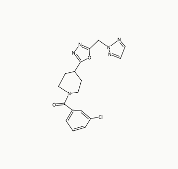 O=C(c1cccc(Cl)c1)N1CCC(c2nnc(Cn3nccn3)o2)CC1